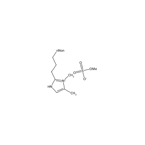 CCCCCCCCCCCCc1[nH]cc(C)[n+]1C.COS(=O)(=O)[O-]